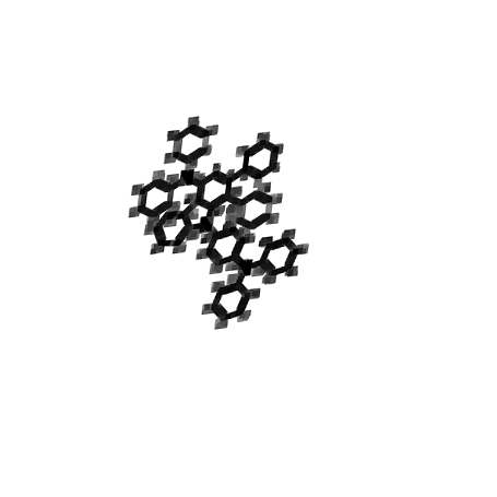 c1ccc(-c2cc(N(c3ccccc3)c3ccccc3)c3c4ccccc4n(-c4ccc(N(c5ccccc5)c5ccccc5)cc4)c3c2-c2ccccc2)cc1